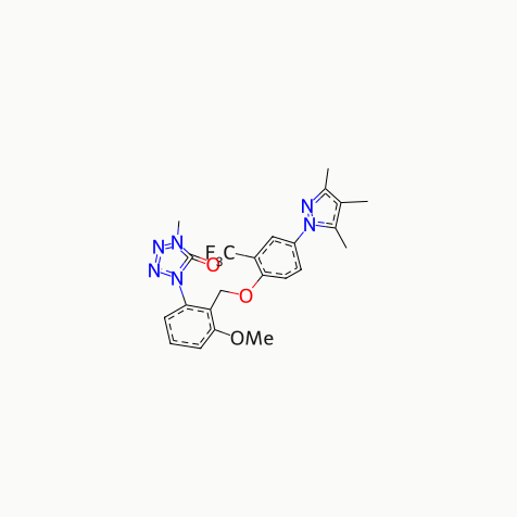 COc1cccc(-n2nnn(C)c2=O)c1COc1ccc(-n2nc(C)c(C)c2C)cc1C(F)(F)F